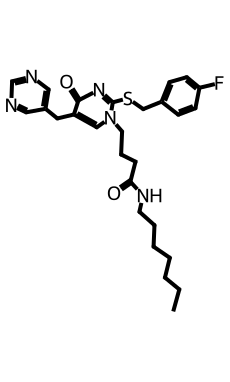 CCCCCCCNC(=O)CCCn1cc(Cc2cncnc2)c(=O)nc1SCc1ccc(F)cc1